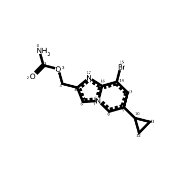 NC(=O)OCc1cn2cc(C3CC3)cc(Br)c2n1